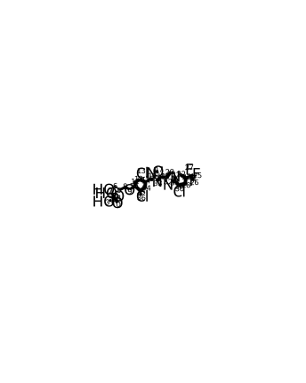 O=P(O)(O)O[C@@H](CO)COc1cc(Cl)c(-c2noc(-c3cn4cc(C(F)(F)F)cc(Cl)c4n3)n2)cc1Cl